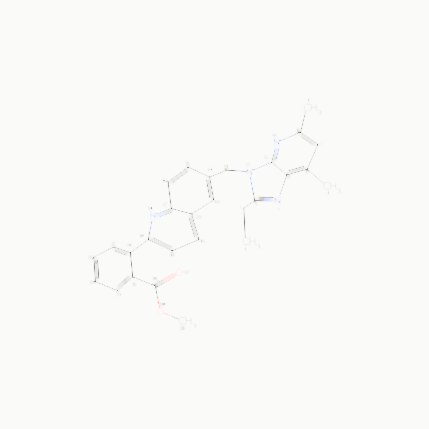 CCc1nc2c(C)cc(C)nc2n1Cc1ccc2nc(-c3ccccc3C(=O)OC)ccc2c1